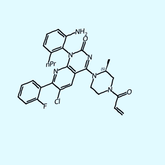 C=CC(=O)N1CCN(c2nc(=O)n(-c3c(N)cccc3CCC)c3nc(-c4ccccc4F)c(Cl)cc23)[C@@H](C)C1